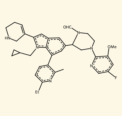 CCc1ccc(-c2cc(C3CN(c4ncc(F)cc4OC)CCN3C=O)cc3cc(C4=CCCNC4)n(CC4CC4)c23)c(C)n1